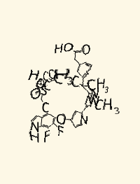 Cn1nc2nc1-c1cc(ccn1)Oc1c(F)c(F)c3[nH]ccc3c1CCS(=O)(=O)CC(C)(C)CCC[C@]2(C)c1cccc(CC(=O)O)c1